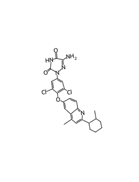 Cc1cc(C2CCCCC2C)nc2ccc(Oc3c(Cl)cc(-n4nc(N)c(=O)[nH]c4=O)cc3Cl)cc12